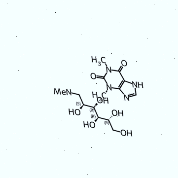 CNC[C@H](O)[C@@H](O)[C@H](O)[C@H](O)CO.Cn1c(=O)c2[nH]cnc2n(C)c1=O